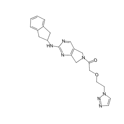 O=C(COCCn1ccnn1)N1Cc2cnc(NC3Cc4ccccc4C3)nc2C1